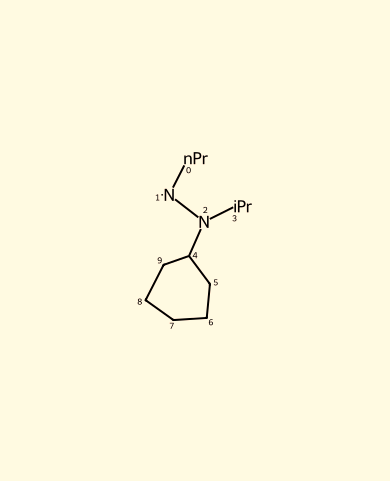 CCC[N]N(C(C)C)C1CCCCC1